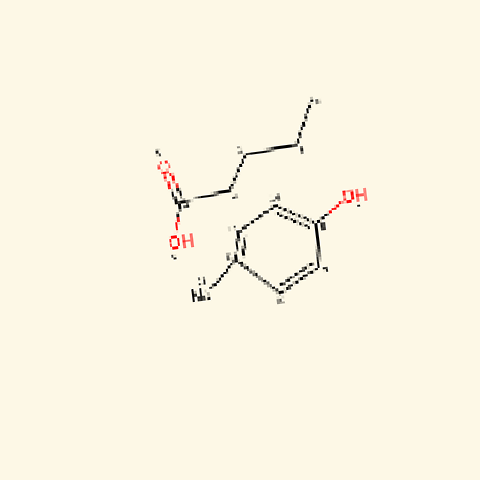 CCCCC(=O)O.Oc1cc[c]([Na])cc1